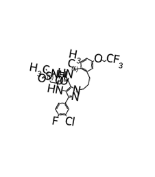 C[C@@H]1NC(=O)c2c(NC(=O)C[S@@](C)(=N)=O)c(-c3ccc(F)c(Cl)c3)nn2CCCc2cc(OCC(F)(F)F)ccc21